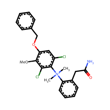 COc1c(OCc2ccccc2)cc(Cl)c([N+](C)(C)c2ccccc2CC(N)=O)c1Cl